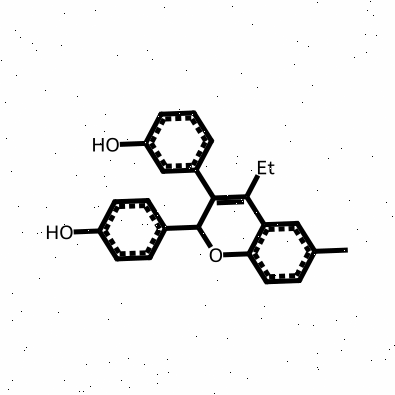 CCC1=C(c2cccc(O)c2)C(c2ccc(O)cc2)Oc2ccc(C)cc21